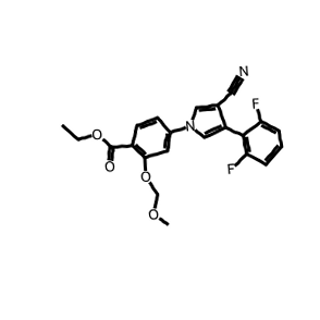 CCOC(=O)c1ccc(-n2cc(C#N)c(-c3c(F)cccc3F)c2)cc1OCOC